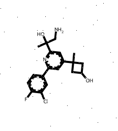 CC(O)(CN)c1cc(C2(C)CC(O)C2)cc(-c2ccc(F)c(Cl)c2)n1